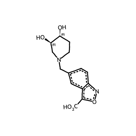 O=C(O)c1onc2ccc(CN3CC[C@@H](O)[C@H](O)C3)cc12